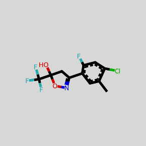 Cc1cc(C2=NOC(O)(C(F)(F)F)C2)c(F)cc1Cl